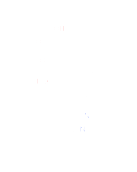 CC(C)c1c(/C=C/C(O)CC(=O)CC(=O)O)c(-c2ccc(F)cc2)nn2cccc12